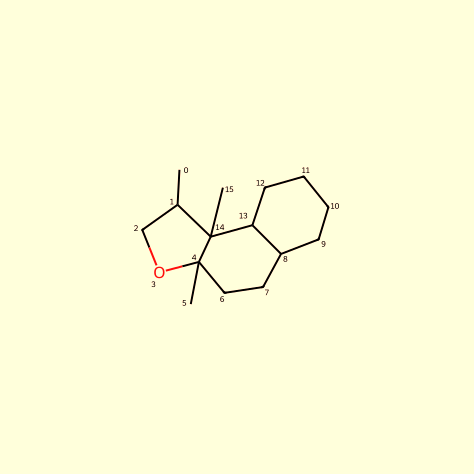 CC1COC2(C)CCC3CCCCC3C12C